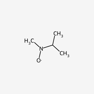 CC(C)N(C)[O]